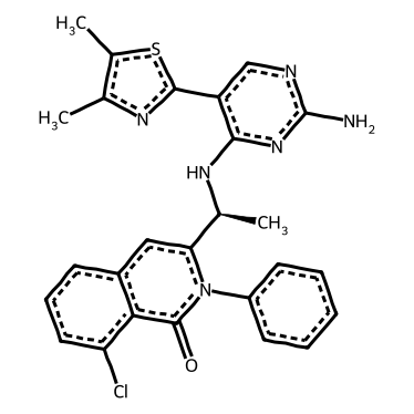 Cc1nc(-c2cnc(N)nc2N[C@@H](C)c2cc3cccc(Cl)c3c(=O)n2-c2ccccc2)sc1C